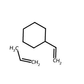 C=CC.C=CC1CCCCC1